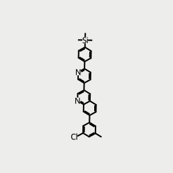 Cc1cc(Cl)cc(-c2ccc3cc(-c4ccc(-c5ccc([Si](C)(C)C)cc5)nc4)cnc3c2)c1